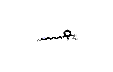 C/C=C/CCCCCOc1cccc(NC)c1F